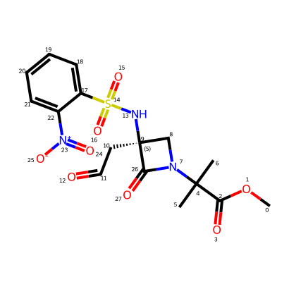 COC(=O)C(C)(C)N1C[C@](CC=O)(NS(=O)(=O)c2ccccc2[N+](=O)[O-])C1=O